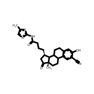 Cc1cnc(NC(=O)CCC[C@@H]2CC(=O)[C@@]3(C)CCC4c5cc(C#N)c(O)cc5CCC4C23)s1